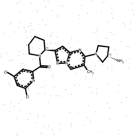 Cc1cn2nc([C@@H]3CCCCN3C(=O)c3cc(Cl)cc(Cl)n3)cc2nc1N1CC[C@H](N)C1